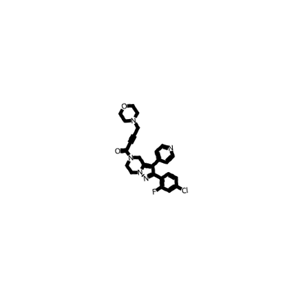 O=C(C#CCN1CCOCC1)N1CCn2nc(-c3ccc(Cl)cc3F)c(-c3ccncc3)c2C1